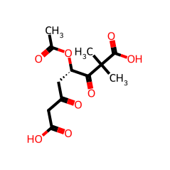 CC(=O)O[C@@H](CC(=O)CC(=O)O)C(=O)C(C)(C)C(=O)O